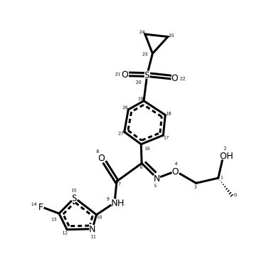 C[C@@H](O)CO/N=C(/C(=O)Nc1ncc(F)s1)c1ccc(S(=O)(=O)C2CC2)cc1